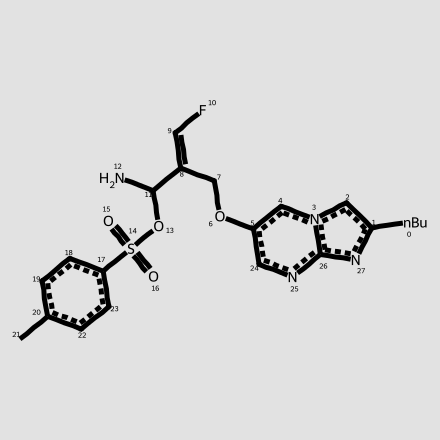 CCCCc1cn2cc(OC/C(=C\F)C(N)OS(=O)(=O)c3ccc(C)cc3)cnc2n1